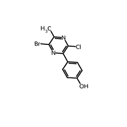 Cc1nc(Cl)c(-c2ccc(O)cc2)nc1Br